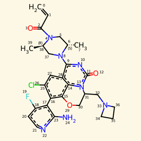 C=CC(=O)N1C[C@H](C)N(c2nc(=O)n3c4c(c(-c5c(F)ccnc5N)c(Cl)cc24)OCC3CN2CCC2)C[C@H]1C